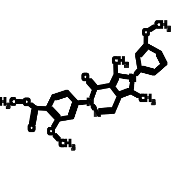 COC(=O)c1ccc(-n2ncc3c(C)n(-c4cccc(OC)c4)c(C)c3c2=O)cc1OC